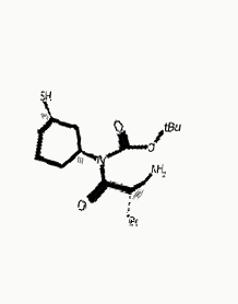 CC(C)[C@@H](N)C(=O)N(C(=O)OC(C)(C)C)[C@H]1CCC[C@@H](S)C1